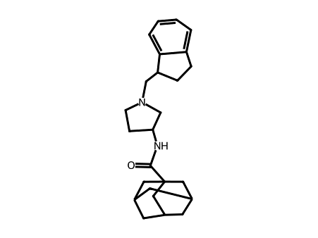 O=C(NC1CCN(CC2CCc3ccccc32)C1)C12CC3CC(CC(C3)C1)C2